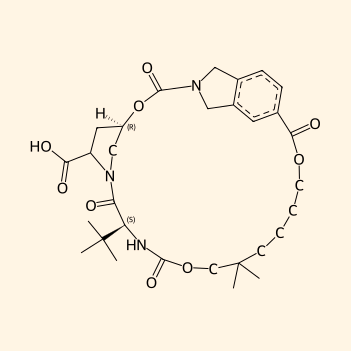 CC1(C)CCCCOC(=O)c2ccc3c(c2)CN(C3)C(=O)O[C@@H]2CC(C(=O)O)N(C2)C(=O)[C@H](C(C)(C)C)NC(=O)OC1